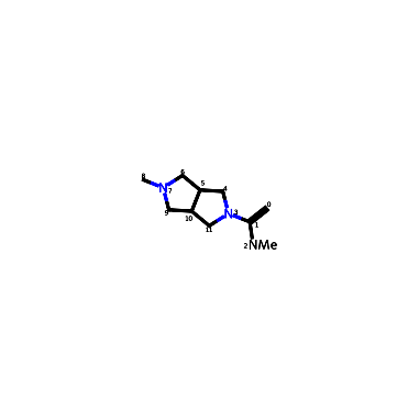 C=C(NC)N1CC2CN(C)CC2C1